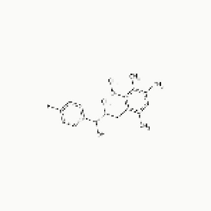 COc1c(C)c(C)cc(C)c1CC(C)C(O)c1ccc(F)cc1